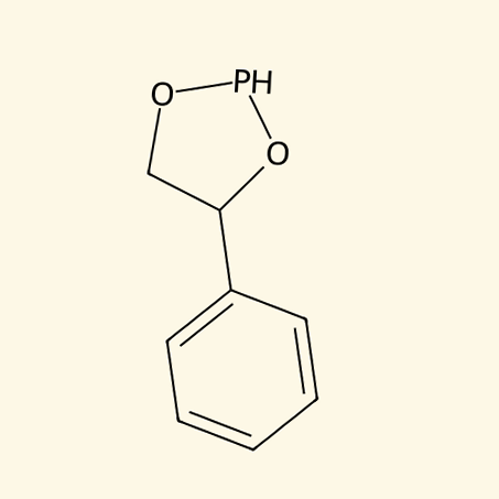 c1ccc(C2COPO2)cc1